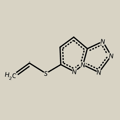 C=[C]Sc1ccc2nnnn2n1